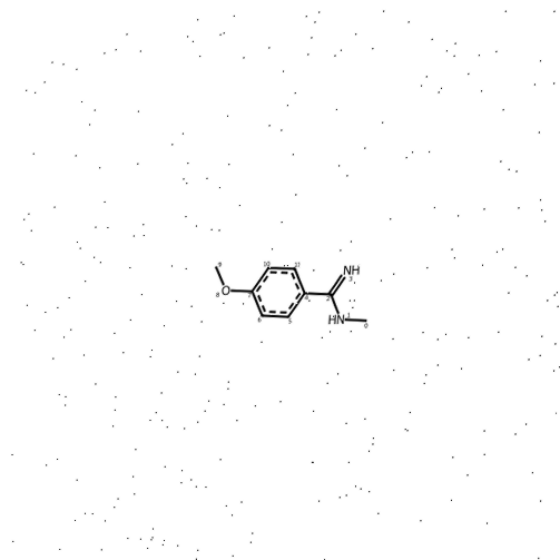 CNC(=N)c1ccc(OC)cc1